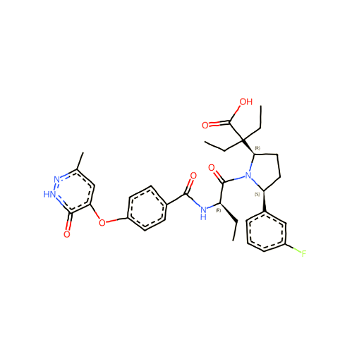 CC[C@@H](NC(=O)c1ccc(Oc2cc(C)n[nH]c2=O)cc1)C(=O)N1[C@H](c2cccc(F)c2)CC[C@@H]1C(CC)(CC)C(=O)O